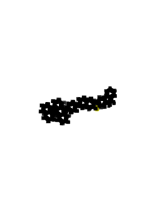 CC1(C)c2ccccc2-c2cc3c(cc21)sc1cc2cc(-c4ccc(-c5c6ccccc6c(-c6cccc7ccccc67)c6ccccc56)cc4)ccc2cc13